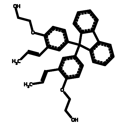 CC=Cc1cc(C2(c3ccc(OCCO)c(C=CC)c3)c3ccccc3-c3ccccc32)ccc1OCCO